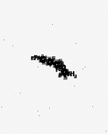 CCCc1ccc(-c2ccc(-c3cc(F)c(C(F)(F)Oc4cc(F)c(C)c(P)c4)c(F)c3)c(F)c2)cc1